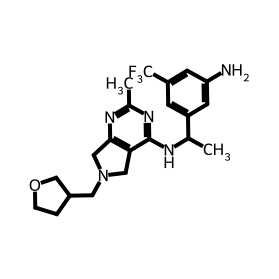 Cc1nc2c(c(NC(C)c3cc(N)cc(C(F)(F)F)c3)n1)CN(CC1CCOC1)C2